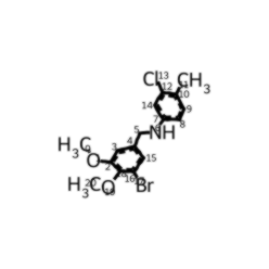 COc1cc(CNc2ccc(C)c(Cl)c2)cc(Br)c1OC